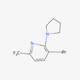 CC(C)c1ccc(C(F)(F)F)nc1N1CCCC1